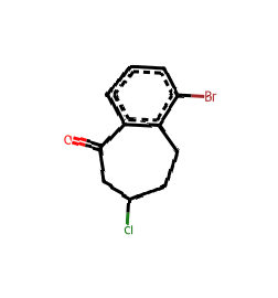 O=C1CC(Cl)CCc2c(Br)cccc21